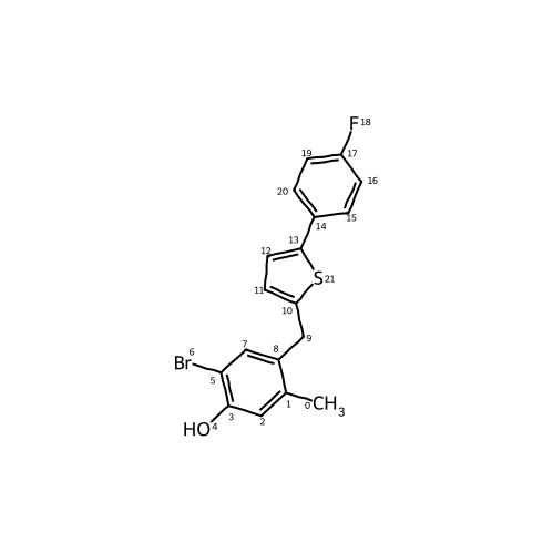 Cc1cc(O)c(Br)cc1Cc1ccc(-c2ccc(F)cc2)s1